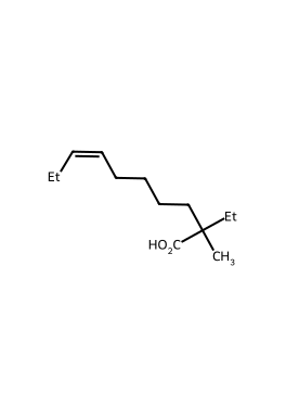 CC/C=C\CCCCC(C)(CC)C(=O)O